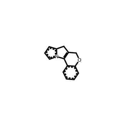 c1ccc2c(c1)OCC1=C2n2cccc2C1